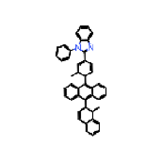 CC1C=C(c2nc3ccccc3n2-c2ccccc2)C=CC1c1c2ccccc2c(C2C=Cc3ccccc3C2C)c2ccccc12